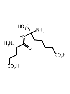 N[C@@H](CCC(=O)O)C(=O)N[C@@](N)(CCCCC(=O)O)C(=O)O